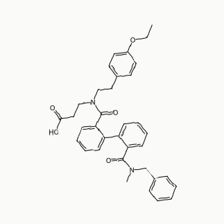 CCOc1ccc(CCN(CCC(=O)O)C(=O)c2ccccc2-c2ccccc2C(=O)N(C)Cc2ccccc2)cc1